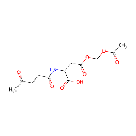 CC(=O)CCC(=O)NC(CC(=O)OCOC(C)=O)C(=O)O